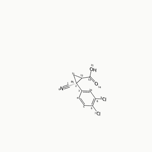 N#C[C@]1(c2ccc(Cl)c(Cl)c2)CC1C(=O)O